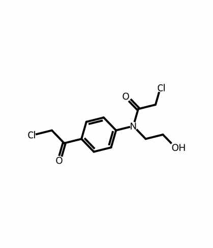 O=C(CCl)c1ccc(N(CCO)C(=O)CCl)cc1